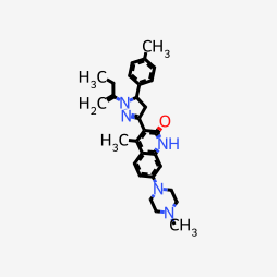 C=C(CC)N1N=C(c2c(C)c3ccc(N4CCN(C)CC4)cc3[nH]c2=O)CC1c1ccc(C)cc1